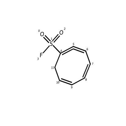 O=S(=O)(F)C1=C=C/C=C\C=C/C1